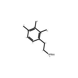 CCCCCCC[CH]c1ccc(C)c(C)c1C